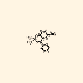 CC1(C)C=C(c2ccccn2)c2cc(C#N)ccc2O1